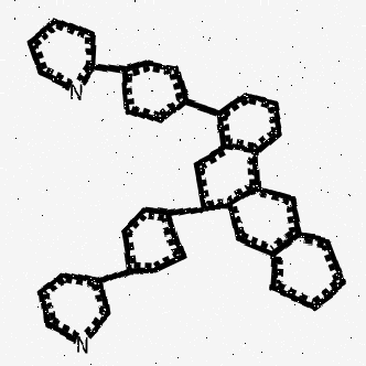 c1ccc(-c2ccc(-c3cccc4c3cc(-c3ccc(-c5cccnc5)cc3)c3cc5ccccc5cc34)cc2)nc1